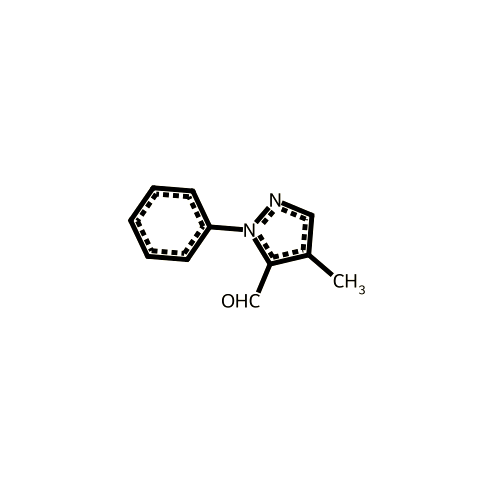 Cc1cnn(-c2ccccc2)c1C=O